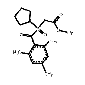 Cc1cc(C)c(C(=O)P(=O)(CC(=O)OC(C)C)C2CCCC2)c(C)c1